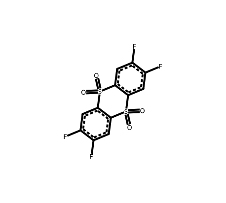 O=S1(=O)c2cc(F)c(F)cc2S(=O)(=O)c2cc(F)c(F)cc21